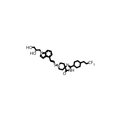 O=C1NC(C2CCC(CCC(F)(F)F)CC2)=NC12CCN(S/C=C/c1cccc3c1ccn3C[C@@H](O)CO)CC2